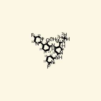 [2H]C([2H])([2H])NC(=O)c1cnc(Nc2cccc(F)n2)cc1Nc1cccc(-c2ncc(F)cn2)c1OC